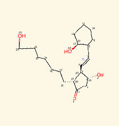 O=C1C[C@@H](O)[C@H](/C=C/C2CCCC[C@@H]2O)[C@H]1CCCCCCCO